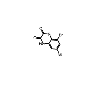 O=C1[N]c2c(Br)cc(Br)cc2NC1=O